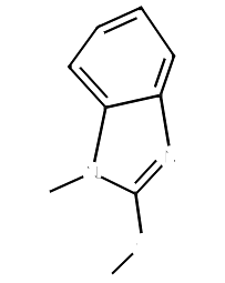 COc1nc2ccccc2n1C